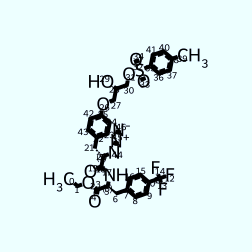 CCOC(=O)[C@H](Cc1ccc(C(F)(F)F)cc1)NC(=O)[C@H](Cc1ccc(OCC(O)COS(=O)(=O)c2ccc(C)cc2)cc1)N=[N+]=[N-]